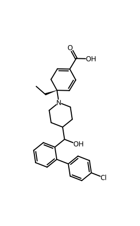 CC[C@]1(N2CCC(C(O)c3ccccc3-c3ccc(Cl)cc3)CC2)C=CC(C(=O)O)=CC1